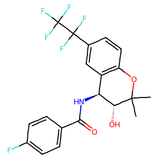 CC1(C)Oc2ccc(C(F)(F)C(F)(F)F)cc2[C@H](NC(=O)c2ccc(F)cc2)[C@H]1O